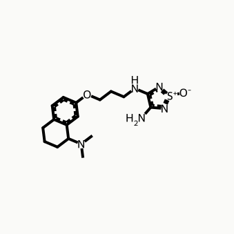 CN(C)C1CCCc2ccc(OCCCNc3n[s+]([O-])nc3N)cc21